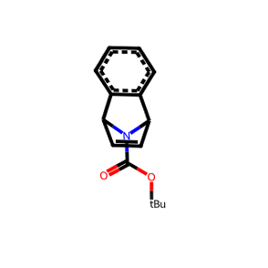 CC(C)(C)OC(=O)N1C2C=CC1c1ccccc12